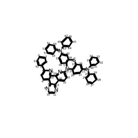 c1ccc(-c2ccc3c4nccnc4c4ccc(N5c6ccc(N(c7ccccc7)c7ccccc7)cc6Sc6cc(N(c7ccccc7)c7ccccc7)ccc65)nc4c3n2)cc1